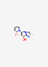 Cc1cn2cc(-n3ccccc3=O)cc(O)c2n1